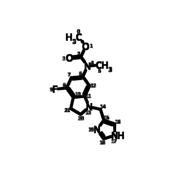 COC(=O)N(C)c1cc(F)c2c(c1)N(Cc1c[nH]cn1)CC2